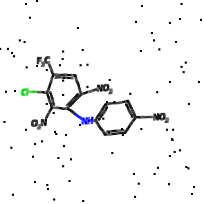 O=[N+]([O-])c1ccc(Nc2c([N+](=O)[O-])cc(C(F)(F)F)c(Cl)c2[N+](=O)[O-])cc1